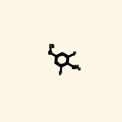 CCOc1cc(F)c(N)c(F)c1